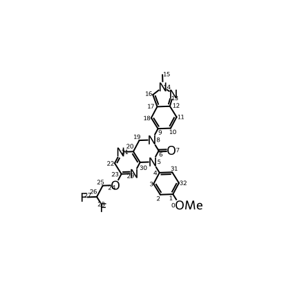 COc1ccc(N2C(=O)N(c3ccc4nn(C)cc4c3)Cc3ncc(OCC(F)F)nc32)cc1